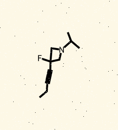 CCC#CC1(F)CN(C(C)C)C1